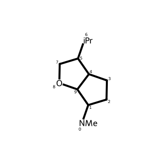 CNC1CCC2C(C(C)C)COC12